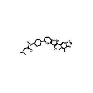 Cc1c(-c2[nH]c3ccc(C4CCC(N(C)C(=O)CN(C)C)CC4)nc3c2C(C)C)cn2ncnc2c1C